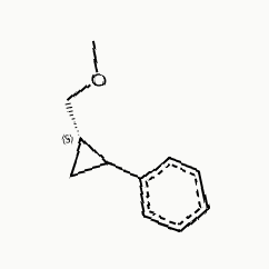 COC[C@H]1CC1c1ccccc1